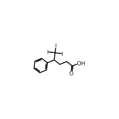 O=C(O)CCC(c1ccccc1)C(I)(I)I